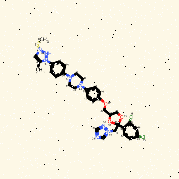 CSN1C=C(C)N(c2ccc(N3CCN(c4ccc(OCC5COC(Cn6cncn6)(c6ccc(Cl)cc6Cl)O5)cc4)CC3)cc2)N1